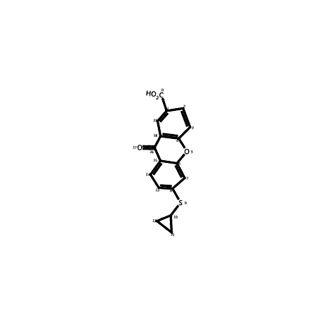 O=C(O)c1ccc2oc3cc(SC4CC4)ccc3c(=O)c2c1